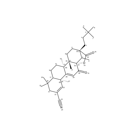 CC1[C@]2(CCC(C)(C)C)CC[C@@]3(C)[C@]4(C)CCC5C(C)(C)CC(C#N)=C[C@]5(C)C4=CC(=O)[C@]13OC2=O